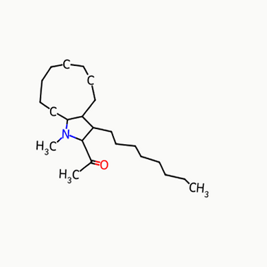 CCCCCCCCC1C2CCCCCCCCC2N(C)C1C(C)=O